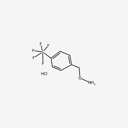 Cl.NOCc1ccc(S(F)(F)(F)(F)F)cc1